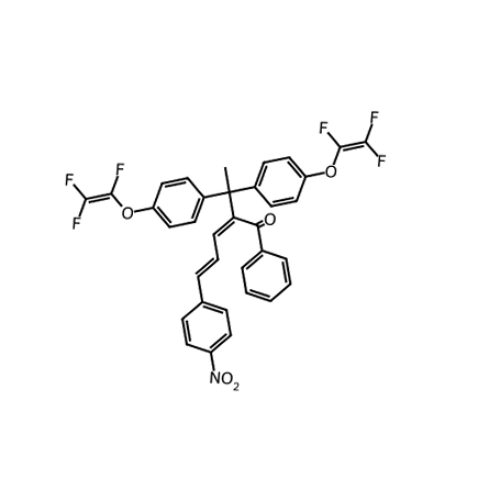 CC(C(=CC=Cc1ccc([N+](=O)[O-])cc1)C(=O)c1ccccc1)(c1ccc(OC(F)=C(F)F)cc1)c1ccc(OC(F)=C(F)F)cc1